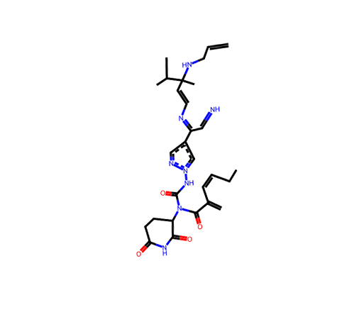 C=CCNC(C)(/C=C/N=C(\C=N)c1cnn(NC(=O)N(C(=O)C(=C)/C=C\CC)C2CCC(=O)NC2=O)c1)C(C)C